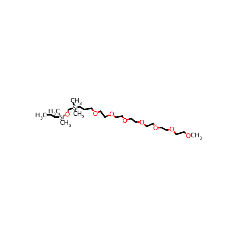 CCC[Si](C)(C)OC[Si](C)(C)CCCOCCOCCOCCOCCOCCOCCOC